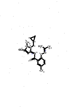 C/C(=N\Oc1ccc(C(F)(F)F)cc1C(=O)/N=c1\cc(C(C)(C)C)n(C)n1CC1CC1)C(F)(F)F